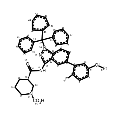 CCOc1ccc(F)c(-c2ccc3c(c2)c(NC(=O)[C@@H]2CCCN(C(=O)O)C2)nn3C(c2ccccc2)(c2ccccc2)c2ccccc2)c1